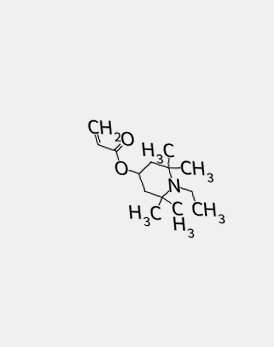 C=CC(=O)OC1CC(C)(C)N(CC)C(C)(C)C1